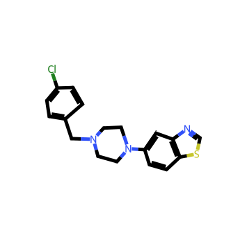 Clc1ccc(CN2CCN(c3[c]c4ncsc4cc3)CC2)cc1